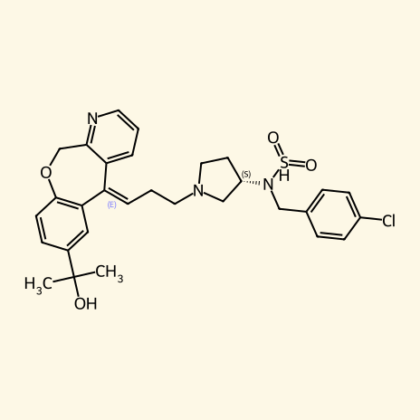 CC(C)(O)c1ccc2c(c1)/C(=C/CCN1CC[C@H](N(Cc3ccc(Cl)cc3)[SH](=O)=O)C1)c1cccnc1CO2